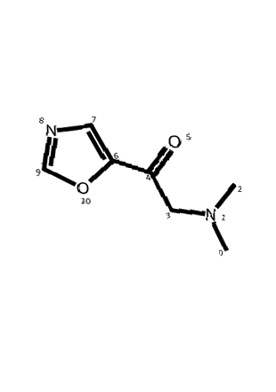 CN(C)CC(=O)c1cnco1